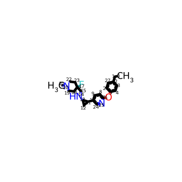 CCc1ccc(Oc2ccc(C3CC3NCC3(F)CCN(C)CC3)cn2)cc1